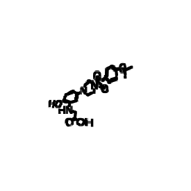 CC(C)Oc1ccc(S(=O)(=O)N2CCN(c3ccc(O)c(NCC(=O)O)c3)CC2)cc1